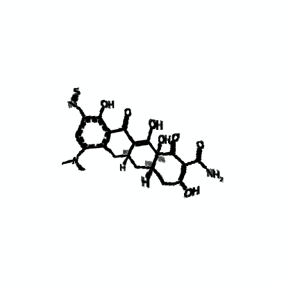 CN(C)c1cc(N=S)c(O)c2c1C[C@H]1C[C@H]3CC(O)=C(C(N)=O)C(=O)[C@@]3(O)C(O)=C1C2=O